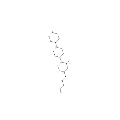 CCCCC1CCC(C2CCC(C3CCC(CCCCO)CC3CC)CC2)CC1